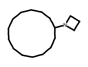 C1CCCCCCC(N2CCC2)CCCCCC1